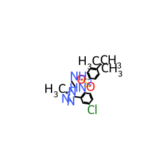 Cc1nnc(-c2cc(Cl)ccc2NS(=O)(=O)c2ccc(C(C)(C)C)cc2)n1CCN